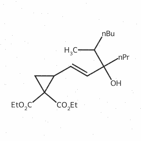 CCCCC(C)C(O)(C=CC1CC1(C(=O)OCC)C(=O)OCC)CCC